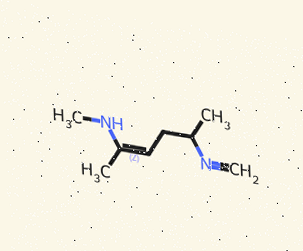 C=NC(C)C/C=C(/C)NC